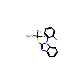 CCOC(=O)C(C)(C)Sc1nc2ccccc2n1-c1ccccc1I